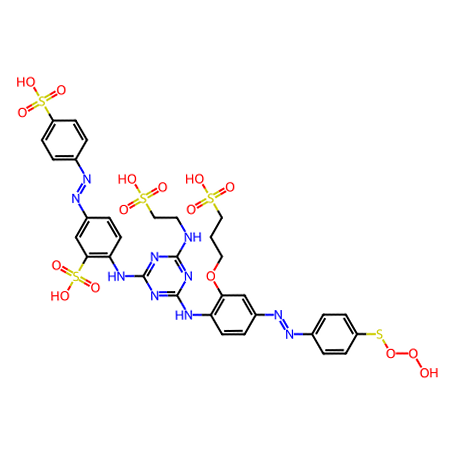 O=S(=O)(O)CCCOc1cc(N=Nc2ccc(SOOO)cc2)ccc1Nc1nc(NCCS(=O)(=O)O)nc(Nc2ccc(N=Nc3ccc(S(=O)(=O)O)cc3)cc2S(=O)(=O)O)n1